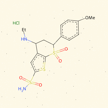 CCNC1CC(c2ccc(OC)cc2)S(=O)(=O)c2sc(S(N)(=O)=O)cc21.Cl